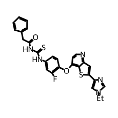 CCn1cnc(-c2cc3nccc(Oc4ccc(NC(=S)NC(=O)Cc5ccccc5)cc4F)c3s2)c1